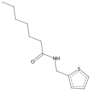 CCCCCCC(=O)NCc1cccs1